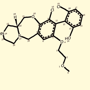 COCCOc1cc2c(c(Cl)c1-c1c(O)cccc1Cl)OC[C@H]1CNCCN1C2